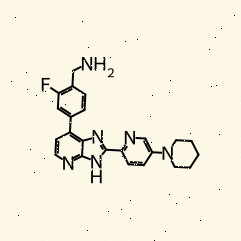 NCc1ccc(-c2ccnc3[nH]c(-c4ccc(N5CCCCC5)cn4)nc23)cc1F